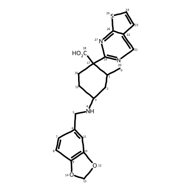 CC1CC(NCc2ccc3c(c2)OCO3)CCC1(C(=O)O)c1ncc2ccsc2n1